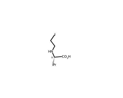 CC(C)[C@H](NCCI)C(=O)O